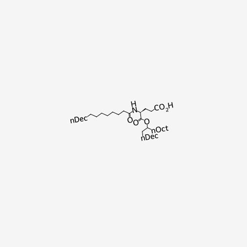 CCCCCCCCCCCCCCCCCC(=O)N[C@@H](CCC(=O)O)C(=O)OC(CCCCCCCC)CCCCCCCCCCC